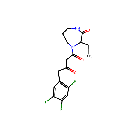 O=C(CC(=O)N1CCCNC(=O)C1CC(F)(F)F)Cc1cc(F)c(F)cc1F